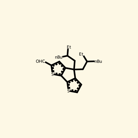 CCCCC(CC)CC1(CC(CC)CCCC)c2ccsc2-c2sc(C=O)cc21